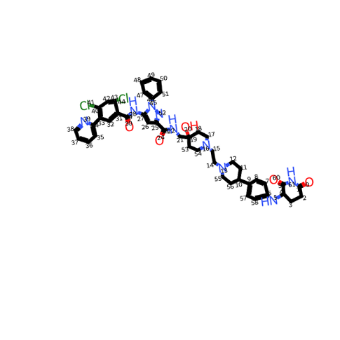 O=C1CCC(Nc2ccc(C3CCN(CCN4CCC(O)(CNC(=O)c5cc(NC(=O)c6cc(-c7ccccn7)c(Cl)cc6Cl)n(-c6ccccc6)n5)CC4)CC3)cc2)C(=O)N1